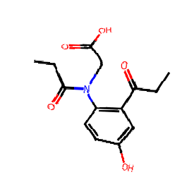 CCC(=O)c1cc(O)ccc1N(CC(=O)O)C(=O)CC